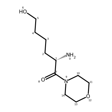 N[C@@H](CCCCO)C(=O)N1CCOCC1